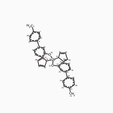 Cc1ccc(-c2cccc([O][Zr]([O]c3cccc(-c4ccc(C)cc4)c3)([CH]3C=CC=C3)[CH]3C=CC=C3)c2)cc1